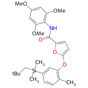 COc1cc(OC)c(NC(=O)c2ccc(Oc3cc([Si](C)(C)CC(C)(C)C)ccc3C)o2)c(OC)c1